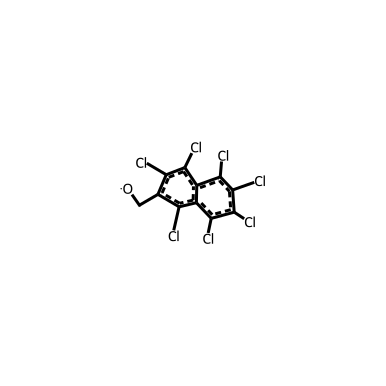 [O]Cc1c(Cl)c(Cl)c2c(Cl)c(Cl)c(Cl)c(Cl)c2c1Cl